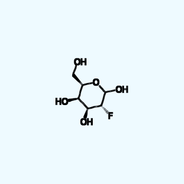 OC[C@H]1OC(O)[C@H](F)[C@@H](O)[C@H]1O